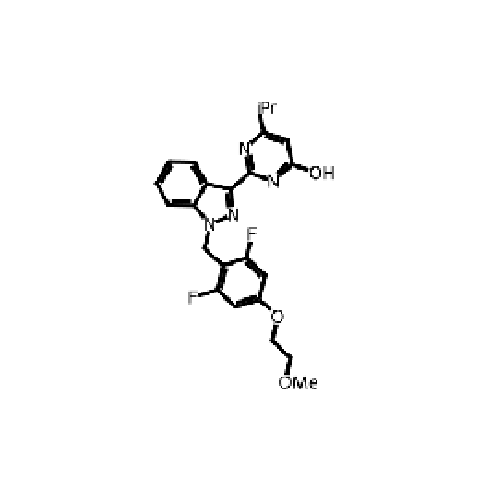 COCCOc1cc(F)c(Cn2nc(-c3nc(O)cc(C(C)C)n3)c3ccccc32)c(F)c1